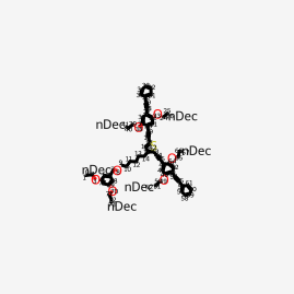 CCCCCCCCCCCCOc1cc(COCCCCCCc2cc(C#Cc3cc(OCCCCCCCCCCCC)c(C#Cc4ccccc4)cc3OCCCCCCCCCCCC)sc2C#Cc2cc(OCCCCCCCCCCCC)c(C#Cc3ccccc3)cc2OCCCCCCCCCCCC)cc(OCCCCCCCCCCCC)c1